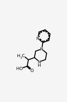 CC(C(=O)O)C1CN(c2ccccn2)CCN1